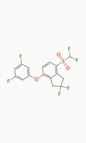 O=S(=O)(c1ccc(Oc2cc(F)cc(F)c2)c2c1CC(F)(F)C2)C(F)F